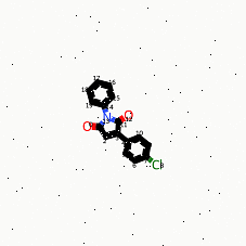 O=C1C=C(c2ccc(Cl)cc2)C(=O)N1c1ccccc1